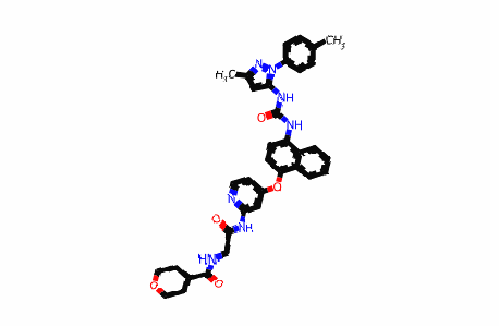 Cc1ccc(-n2nc(C)cc2NC(=O)Nc2ccc(Oc3ccnc(NC(=O)CNC(=O)C4CCOCC4)c3)c3ccccc23)cc1